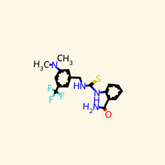 CN(C)c1cc(CNC(=S)Nc2ccccc2C(N)=O)cc(C(F)(F)F)c1